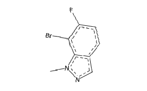 Cn1ncc2ccc(F)c(Br)c21